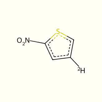 [2H]c1csc([N+](=O)[O-])c1